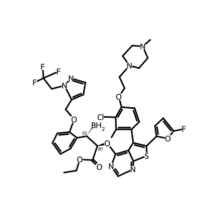 B[C@@H](c1ccccc1OCc1ccnn1CC(F)(F)F)[C@@H](Oc1ncnc2sc(-c3ccc(F)o3)c(-c3ccc(OCCN4CCN(C)CC4)c(Cl)c3C)c12)C(=O)OCC